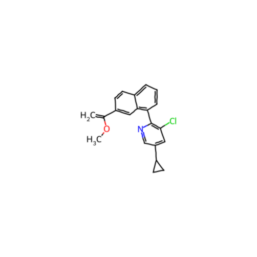 C=C(OC)c1ccc2cccc(-c3ncc(C4CC4)cc3Cl)c2c1